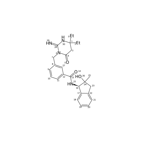 CCC1(CC)CC(=O)N(Cc2cccc(C(=O)N[C@@H]3c4ccccc4CC3(C)O)c2)C(=N)N1